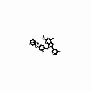 COc1nc(C)c2nc(-c3cncc(F)c3)n(Cc3ccc(O[C@@H]4CN5CCC4CC5)cc3F)c2n1